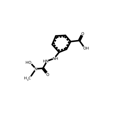 CN(O)C(=O)NNc1cccc(C(=O)O)c1